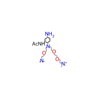 CC(=O)Nc1cc(N)ccc1N(CCOCCOCC[N+](C)(C)C)CCOCCN(C)C